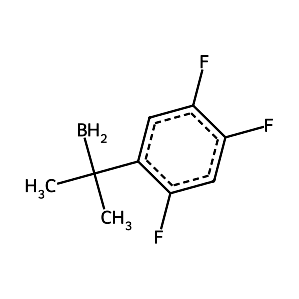 BC(C)(C)c1cc(F)c(F)cc1F